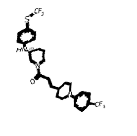 O=C(CCC1CCN(c2ccc(C(F)(F)F)cc2)CC1)N1CCC[C@H](Nc2ccc(SC(F)(F)F)cc2)C1